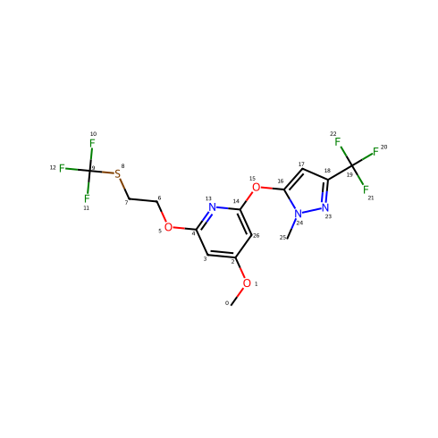 COc1cc(OCCSC(F)(F)F)nc(Oc2cc(C(F)(F)F)nn2C)c1